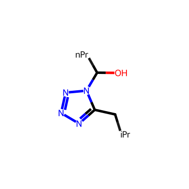 CCCC(O)n1nnnc1CC(C)C